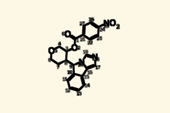 O=C(O[C@@H]1COCC[C@@H]1[C@@H]1c2ccccc2-c2cncn21)c1ccc([N+](=O)[O-])cc1